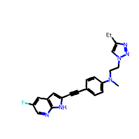 CCc1cn(CCN(C)c2ccc(C#Cc3cc4cc(F)cnc4[nH]3)cc2)nn1